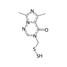 Cc1nc(C)n2ncn(CSS)c(=O)c12